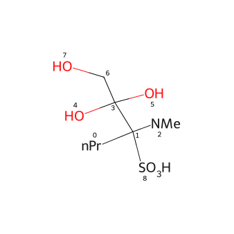 CCCC(NC)(C(O)(O)CO)S(=O)(=O)O